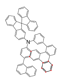 c1ccc(-c2ccccc2-c2c(-c3ccccc3)cccc2-c2cccc(N(c3ccc(-c4cccc5ccccc45)cc3)c3ccc4c(c3)C3(c5ccccc5-c5ccccc53)c3ccccc3-4)c2)cc1